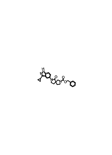 O=C(OCc1ccccc1)N1CCC2(CCN(c3ccc4[nH]nc(C5CC5)c4c3)C2=O)C1